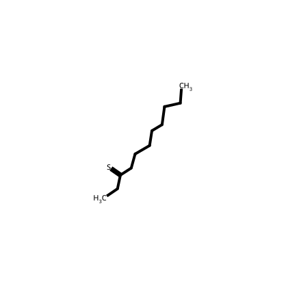 CCCCCCCCC(=S)CC